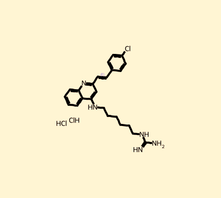 Cl.Cl.N=C(N)NCCCCCCNc1cc(/C=C/c2ccc(Cl)cc2)nc2ccccc12